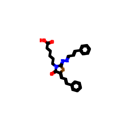 O=C(O)CCCCCN1C(=O)C(=CC=Cc2ccccc2)SC1=NN=CC=Cc1ccccc1